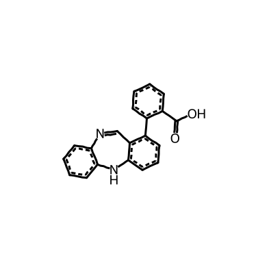 O=C(O)c1ccccc1-c1cccc2c1C=Nc1ccccc1N2